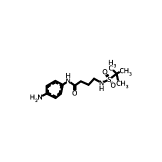 CC(C)(C)S(=O)(=O)NCCCC(=O)Nc1ccc(N)cc1